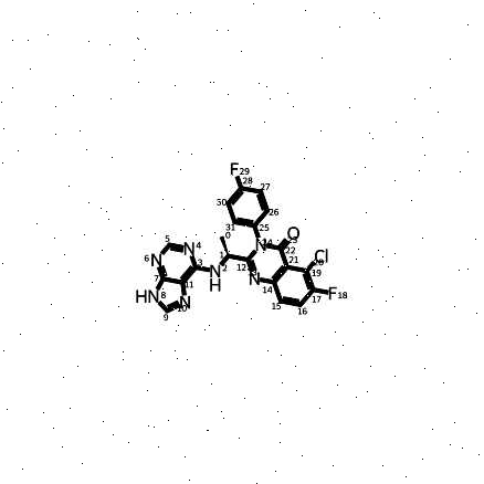 C[C@H](Nc1ncnc2[nH]cnc12)c1nc2ccc(F)c(Cl)c2c(=O)n1-c1ccc(F)cc1